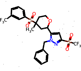 CC1(S(=O)(=O)c2cccc(C(F)(F)F)c2)CCOC(c2cc(S(=O)(=O)C(F)(F)F)nn2Cc2ccccc2)C1